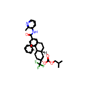 Cc1ncccc1NC(=O)c1ccc2c(c1)CC[C@@H]1C[C@@](OC(=O)OCC(C)C)(C(F)(F)F)CC[C@@]21c1ccccc1